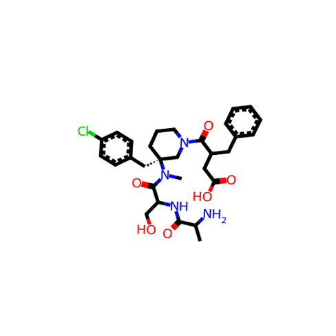 CC(N)C(=O)NC(CO)C(=O)N(C)[C@@]1(Cc2ccc(Cl)cc2)CCCN(C(=O)C(CC(=O)O)Cc2ccccc2)C1